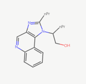 CCCc1nc2cnc3ccccc3c2n1C(CO)CCC